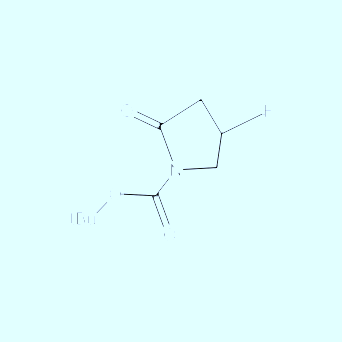 CC(C)(C)OC(=O)N1CC(F)CC1=O